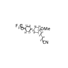 CO[C@]1(C=CC=CC#N)CC[C@H](c2ccc(OC(F)(F)F)cc2)CC1